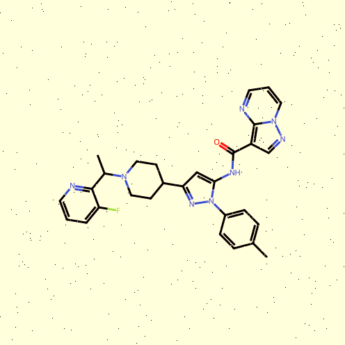 Cc1ccc(-n2nc(C3CCN(C(C)c4ncccc4F)CC3)cc2NC(=O)c2cnn3cccnc23)cc1